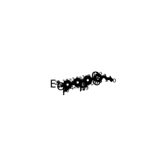 C=CCCC1COC(c2ccc(-c3ccc(-c4ccc(OCC)c(F)c4)cc3F)c(F)c2)OC1